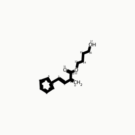 C=C(C=Cc1ccccc1)C(=O)OCCCCO